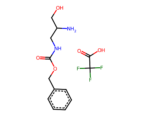 NC(CO)CNC(=O)OCc1ccccc1.O=C(O)C(F)(F)F